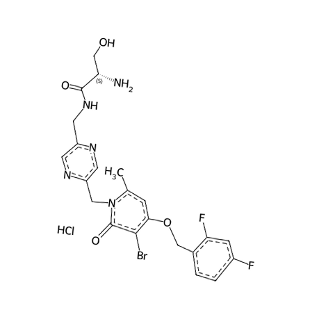 Cc1cc(OCc2ccc(F)cc2F)c(Br)c(=O)n1Cc1cnc(CNC(=O)[C@@H](N)CO)cn1.Cl